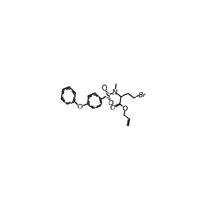 C=CCOC(=O)C(CCBr)N(C)S(=O)(=O)c1ccc(Oc2ccccc2)cc1